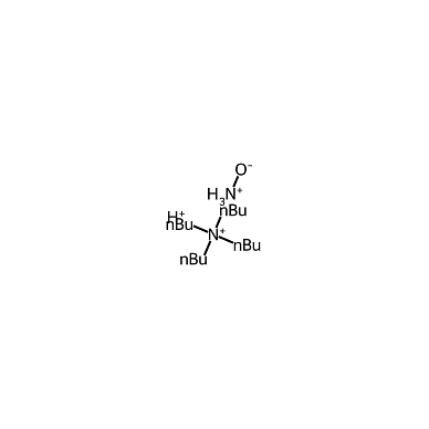 CCCC[N+](CCCC)(CCCC)CCCC.[H+].[NH3+][O-]